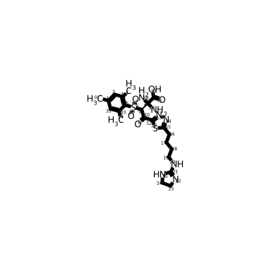 Cc1cc(C)c(S(=O)(=O)[C@H](C(=O)c2nnc(CCCCNC3=NCCN3)s2)C(N)(N)C(=O)O)c(C)c1